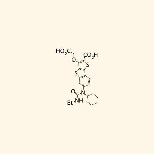 CCNC(=O)N(c1ccc2c(c1)sc1c(OCC(=O)O)c(C(=O)O)sc12)C1CCCCC1